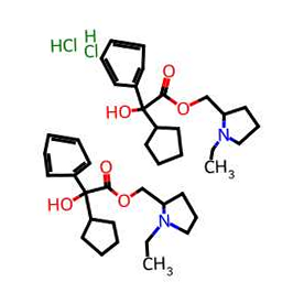 CCN1CCCC1COC(=O)C(O)(c1ccccc1)C1CCCC1.CCN1CCCC1COC(=O)C(O)(c1ccccc1)C1CCCC1.Cl.Cl